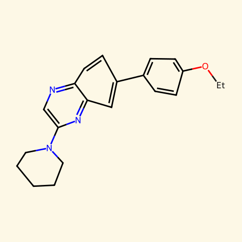 CCOc1ccc(-c2ccc3ncc(N4CCCCC4)nc3c2)cc1